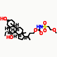 CC[C@H]1[C@@H](O)[C@@H]2[C@H](CC[C@]3(C)[C@@H]([C@H](C)CCOC(=O)NS(=O)(=O)CCOC)CC[C@@H]23)[C@@]2(C)CC[C@@H](O)C[C@@H]12